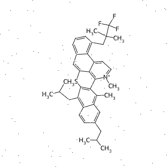 Cc1c2c(c(CC(C)C)c3ccc(CC(C)C)cc13)Sc1cc3cccc(CC(C)(C)C(F)(F)F)c3c3cc[n+](C)c-2c13